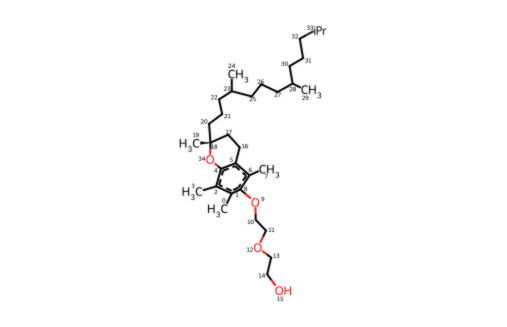 Cc1c(C)c2c(c(C)c1OCCOCCO)CC[C@@](C)(CCCC(C)CCCC(C)CCCC(C)C)O2